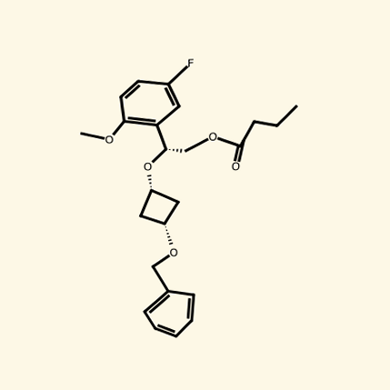 CCCC(=O)OC[C@H](O[C@H]1C[C@@H](OCc2ccccc2)C1)c1cc(F)ccc1OC